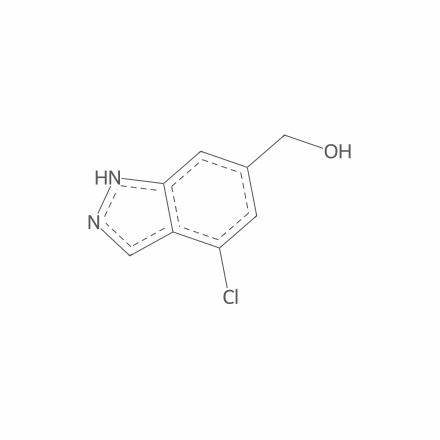 OCc1cc(Cl)c2cn[nH]c2c1